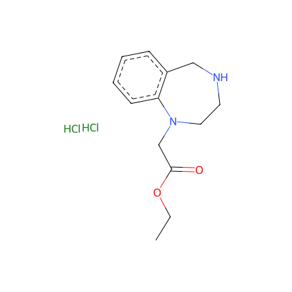 CCOC(=O)CN1CCNCc2ccccc21.Cl.Cl